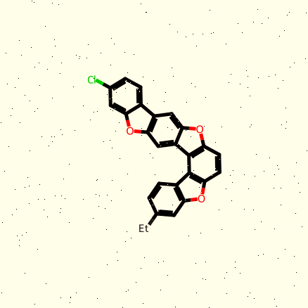 CCc1ccc2c(c1)oc1ccc3oc4cc5c(cc4c3c12)oc1cc(Cl)ccc15